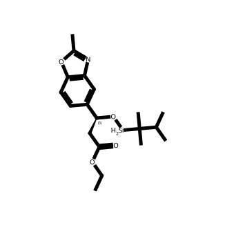 CCOC(=O)C[C@H](O[SiH2]C(C)(C)C(C)C)c1ccc2oc(C)nc2c1